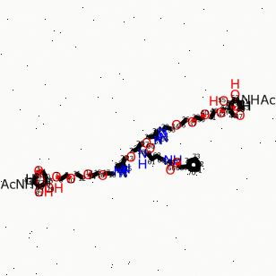 CC(=O)N[C@H]1[C@H]2OC[C@](COCCOCCOCCOCCn3cc(COCC(COCc4cn(CCOCCOCCOCCOC[C@@]56CO[C@@H](O5)[C@H](NC(C)=O)[C@@H](O)[C@H]6O)nn4)NC(=O)CCCNC(=O)OCc4ccccc4)nn3)(O2)[C@H](O)[C@@H]1O